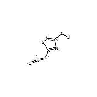 O=C=Nc1nc(CCl)cs1